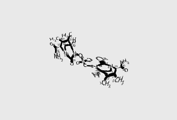 CC1=C(C)[C@@H]2CN(C(=O)N2OS(=O)(=O)ON2C(=O)N3C[C@H]2C(C)=C(C)[C@H]3C(N)=O)[C@@H]1C(N)=O